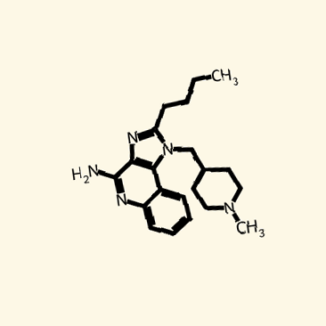 CCCCc1nc2c(N)nc3ccccc3c2n1CC1CCN(C)CC1